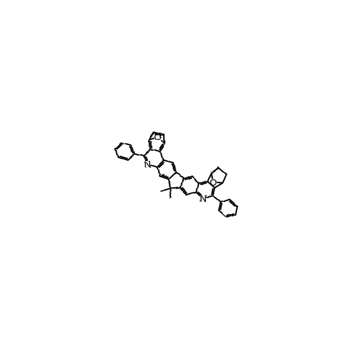 CC1(C)c2cc3nc(-c4ccccc4)c4c(c3cc2-c2cc3c(cc21)nc(-c1ccccc1)c1c2ccc(o2)c31)C1CCC4O1